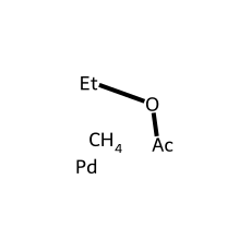 C.CCOC(C)=O.[Pd]